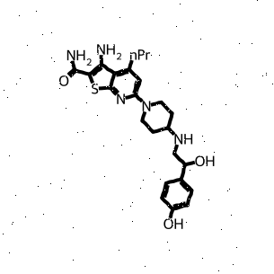 CCCc1cc(N2CCC(NCC(O)c3ccc(O)cc3)CC2)nc2sc(C(N)=O)c(N)c12